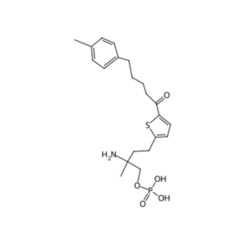 Cc1ccc(CCCCC(=O)c2ccc(CCC(C)(N)COP(=O)(O)O)s2)cc1